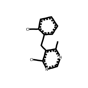 Cc1ncnc(Cl)c1Cc1ccccc1Cl